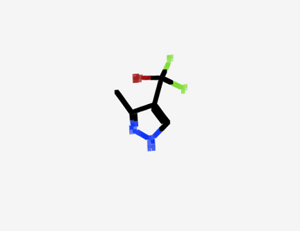 Cc1n[nH]cc1C(F)(F)Br